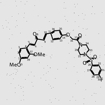 COc1ccc(C=CC(=O)C=Cc2ccc(OCC(=O)N3CCN(S(=O)(=O)c4ccc(F)cc4)CC3)cc2)c(OC)c1